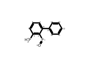 O=Pc1c(P)cccc1-c1ccccc1